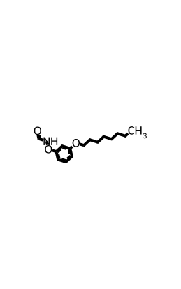 CCCCCCCCOc1cccc(ONC=O)c1